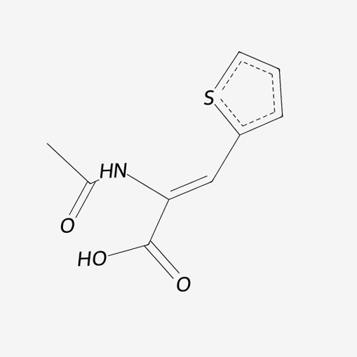 CC(=O)NC(=Cc1cccs1)C(=O)O